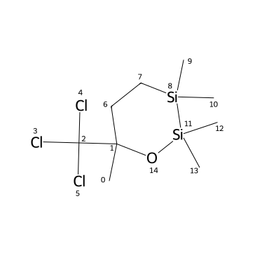 CC1(C(Cl)(Cl)Cl)CC[Si](C)(C)[Si](C)(C)O1